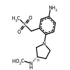 CS(=O)(=O)Cc1cc(N)ccc1N1CC[C@H](NC(=O)O)C1